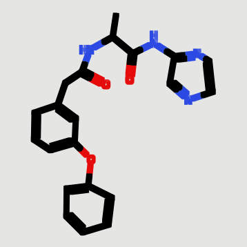 CC(NC(=O)Cc1cccc(Oc2ccccc2)c1)C(=O)Nc1cnccn1